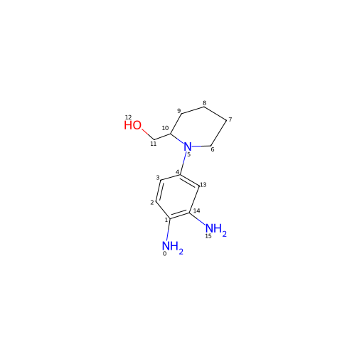 Nc1ccc(N2CCCCC2CO)cc1N